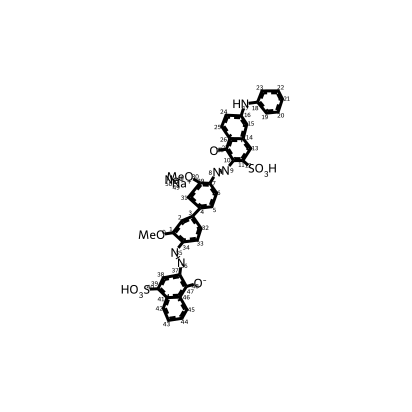 COc1cc(-c2ccc(N=Nc3c(S(=O)(=O)O)cc4cc(Nc5ccccc5)ccc4c3[O-])c(OC)c2)ccc1N=Nc1cc(S(=O)(=O)O)c2ccccc2c1[O-].[Na+].[Na+]